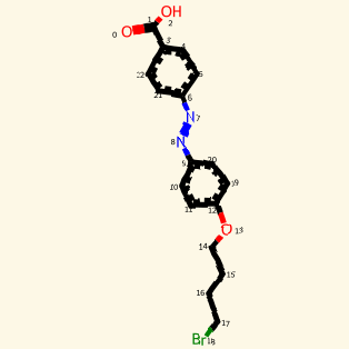 O=C(O)c1ccc(N=Nc2ccc(OCCCCBr)cc2)cc1